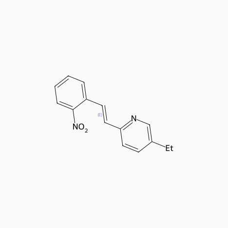 CCc1ccc(/C=C/c2ccccc2[N+](=O)[O-])nc1